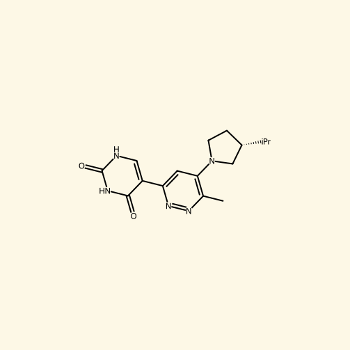 Cc1nnc(-c2c[nH]c(=O)[nH]c2=O)cc1N1CC[C@H](C(C)C)C1